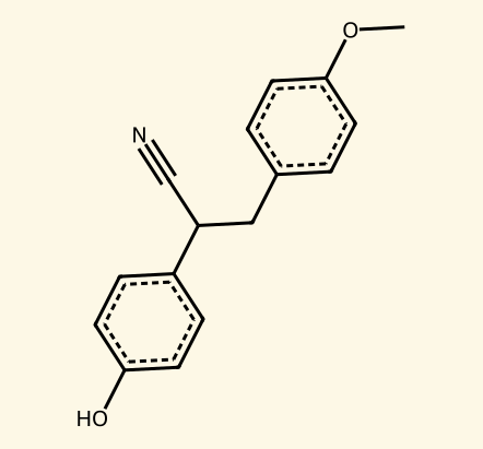 COc1ccc(CC(C#N)c2ccc(O)cc2)cc1